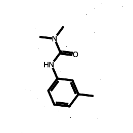 Cc1cccc(NC(=O)N(C)C)c1